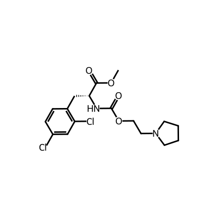 COC(=O)[C@@H](Cc1ccc(Cl)cc1Cl)NC(=O)OCCN1CCCC1